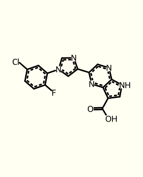 O=C(O)c1c[nH]c2ncc(-c3cn(-c4cc(Cl)ccc4F)cn3)nc12